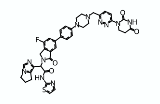 O=C1CCN(c2ccc(CN3CCN(c4ccc(-c5cc(F)c6c(c5)C(=O)N(C(C(=O)Nc5nccs5)c5ncn7c5CCC7)C6)cc4)CC3)nn2)C(=O)N1